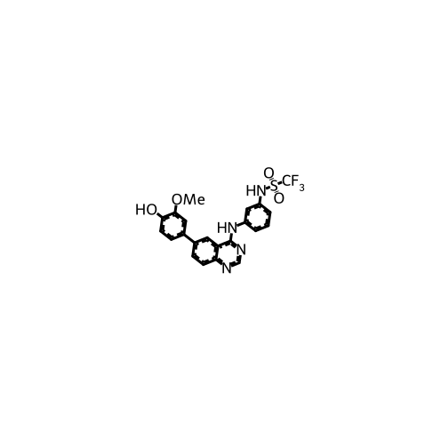 COc1cc(-c2ccc3ncnc(Nc4cccc(NS(=O)(=O)C(F)(F)F)c4)c3c2)ccc1O